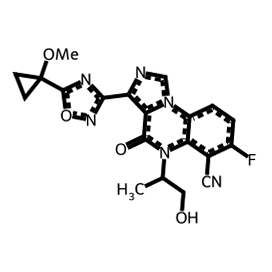 COC1(c2nc(-c3ncn4c3c(=O)n(C(C)CO)c3c(C#N)c(F)ccc34)no2)CC1